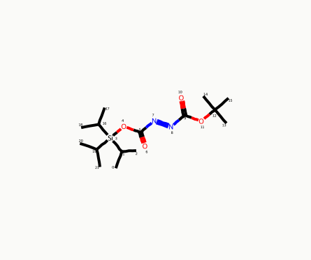 CC(C)[Si](OC(=O)N=NC(=O)OC(C)(C)C)(C(C)C)C(C)C